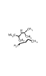 C=CCCC.CC(C)NC(C)C